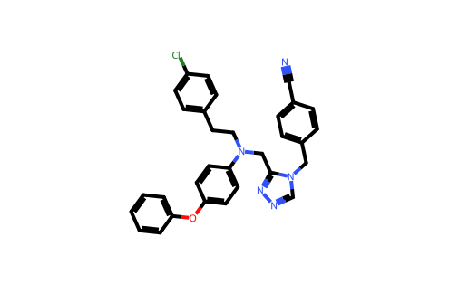 N#Cc1ccc(Cn2cnnc2CN(CCc2ccc(Cl)cc2)c2ccc(Oc3ccccc3)cc2)cc1